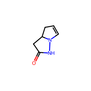 O=C1CC2CC=CN2N1